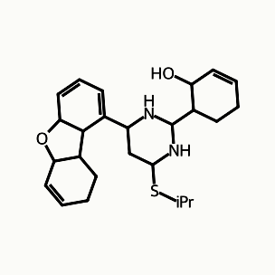 CC(C)SC1CC(C2=CC=CC3OC4C=CCCC4C23)NC(C2CCC=CC2O)N1